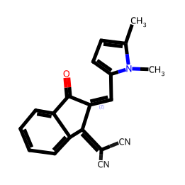 Cc1ccc(/C=C2\C(=O)c3ccccc3C2=C(C#N)C#N)n1C